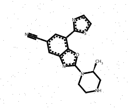 C[C@H]1CNCCN1c1nc2cc(C#N)cc(-c3nccs3)c2o1